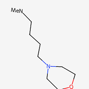 CNCCCCN1CCOCC1